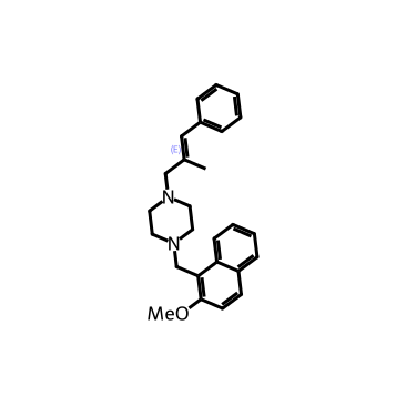 COc1ccc2ccccc2c1CN1CCN(C/C(C)=C/c2ccccc2)CC1